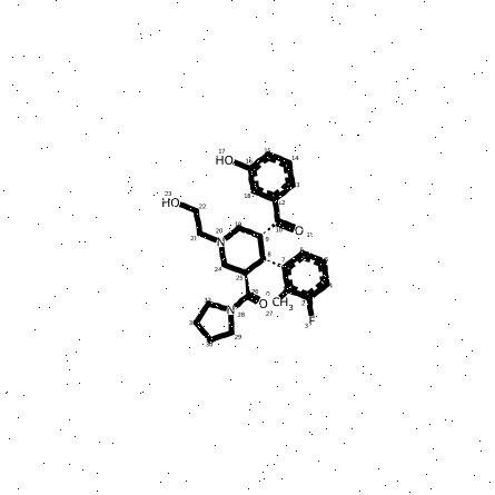 Cc1c(F)cccc1[C@H]1[C@@H](C(=O)c2cccc(O)c2)CN(CCO)C[C@@H]1C(=O)N1CCCC1